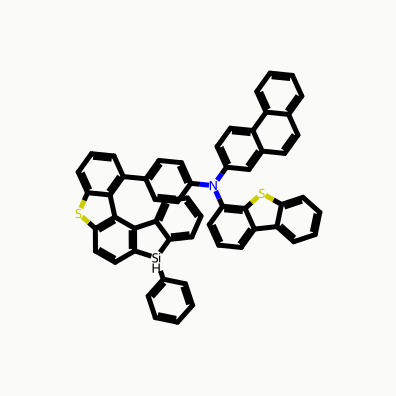 c1ccc([SiH]2c3ccccc3-c3c2ccc2sc4cccc(-c5ccc(N(c6ccc7c(ccc8ccccc87)c6)c6cccc7c6sc6ccccc67)cc5)c4c32)cc1